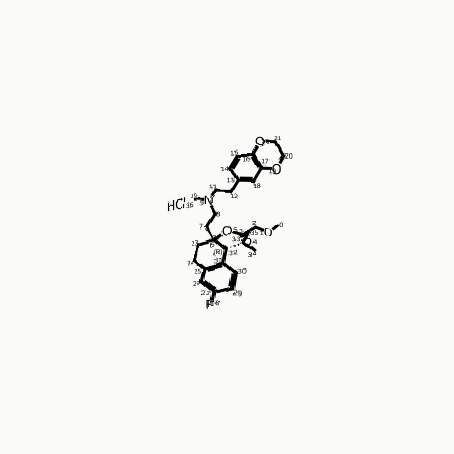 COCC(=O)O[C@@]1(CCN(C)CCc2ccc3c(c2)OCCO3)CCc2cc(F)ccc2[C@H]1C(C)C.Cl